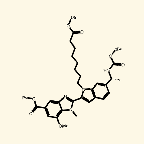 COc1cc(C(=O)OC(C)C)cc2nc(-c3cc4ccc([C@@H](C)NC(=O)OC(C)(C)C)cc4n3CCCCCCCC(=O)OC(C)(C)C)n(C)c12